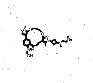 Cc1c2c(nn1C1CC(N(C)CCN(C)C)C1)OCCCOc1c(cnn1C)-c1ccc3c(c1)c(nn3CO)/C=C/2